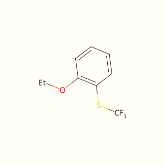 CCOc1[c]cccc1SC(F)(F)F